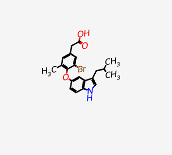 Cc1cc(CC(=O)O)cc(Br)c1Oc1ccc2[nH]cc(CC(C)C)c2c1